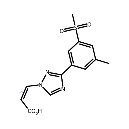 Cc1cc(-c2ncn(/C=C\C(=O)O)n2)cc(S(C)(=O)=O)c1